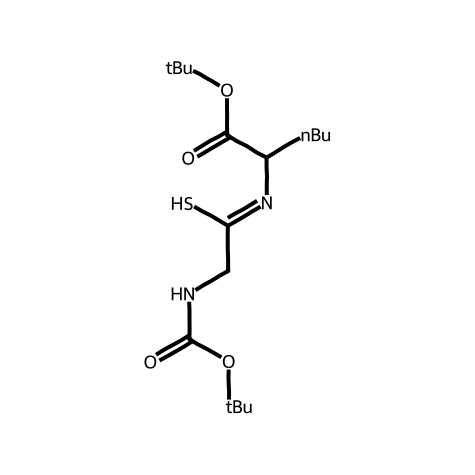 CCCCC(N=C(S)CNC(=O)OC(C)(C)C)C(=O)OC(C)(C)C